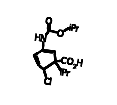 CC(C)OC(=O)NC1=CC(C(=O)O)(C(C)C)C(Cl)C=C1